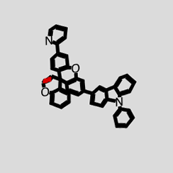 c1ccc(-n2c3ccccc3c3cc(-c4ccc5c(c4)Oc4cc(-c6ccccn6)ccc4C54c5ccccc5Oc5ccccc54)ccc32)cc1